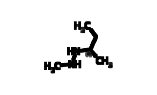 CC[C@@H](C)NNC